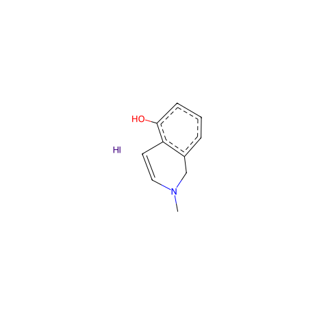 CN1C=Cc2c(O)cccc2C1.I